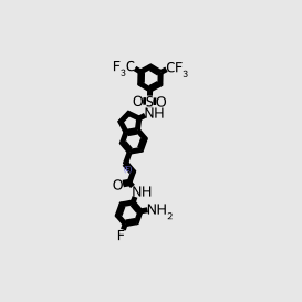 Nc1cc(F)ccc1NC(=O)/C=C/c1ccc2c(c1)CCC2NS(=O)(=O)c1cc(C(F)(F)F)cc(C(F)(F)F)c1